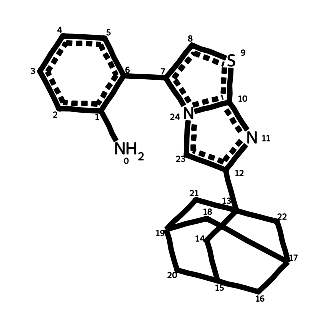 Nc1ccccc1-c1csc2nc(C34CC5CC(CC(C5)C3)C4)cn12